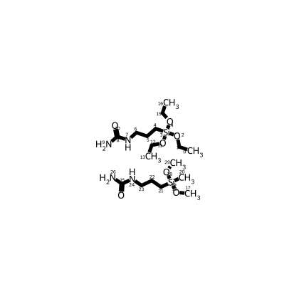 CCO[Si](CCCNC(N)=O)(OCC)OCC.CO[Si](C)(CCCNC(N)=O)OC